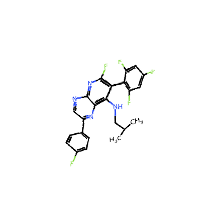 CC(C)CNc1c(-c2c(F)cc(F)cc2F)c(F)nc2ncc(-c3ccc(F)cc3)nc12